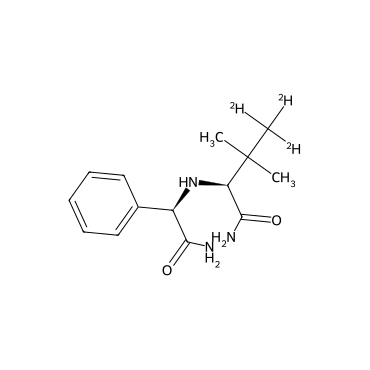 [2H]C([2H])([2H])C(C)(C)[C@H](N[C@@H](C(N)=O)c1ccccc1)C(N)=O